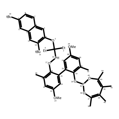 CCC(CC)(Oc1cc2ccc(C(C)(C)C)cc2cc1C(C)(C)C)POc1c(C)cc(OC)cc1-c1cc(OC)cc(C)c1Op1oc(C)c(C)c(C)c(C)o1